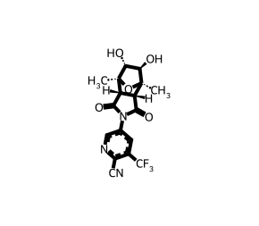 C[C@]12O[C@](C)([C@H](O)[C@H]1O)[C@H]1C(=O)N(c3cnc(C#N)c(C(F)(F)F)c3)C(=O)[C@H]12